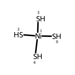 [SH][Ni]([SH])([SH])[SH]